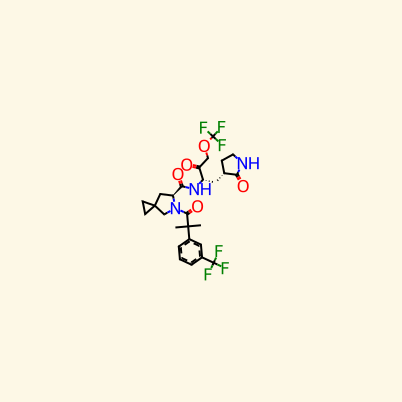 CC(C)(C(=O)N1CC2(CC2)C[C@H]1C(=O)N[C@@H](C[C@@H]1CCNC1=O)C(=O)COC(F)(F)F)c1cccc(C(F)(F)F)c1